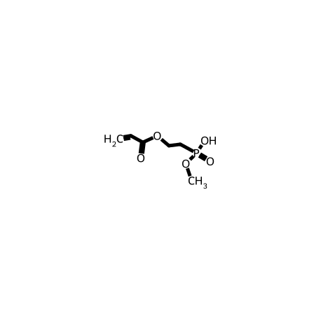 C=CC(=O)OCCP(=O)(O)OC